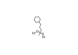 CCO[Si](C)(CCC[C]1CCCCC1)OCC